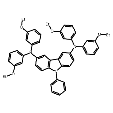 CCOc1cccc(N(c2cccc(OCC)c2)c2ccc3c(c2)c2cc(N(c4cccc(OCC)c4)c4cccc(OCC)c4)ccc2n3-c2ccccc2)c1